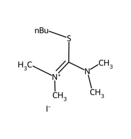 CCCCSC(N(C)C)=[N+](C)C.[I-]